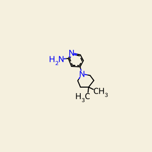 CC1(C)CCN(c2ccnc(N)c2)CC1